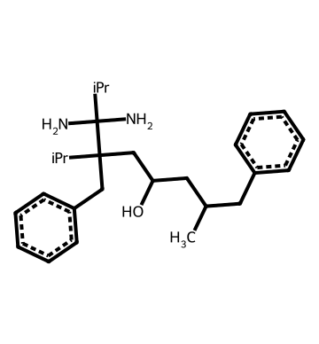 CC(Cc1ccccc1)CC(O)CC(Cc1ccccc1)(C(C)C)C(N)(N)C(C)C